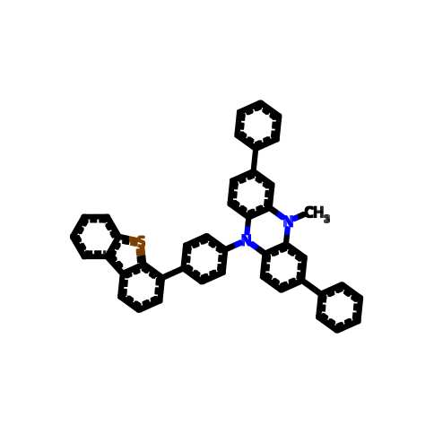 CN1c2cc(-c3ccccc3)ccc2N(c2ccc(-c3cccc4c3sc3ccccc34)cc2)c2ccc(-c3ccccc3)cc21